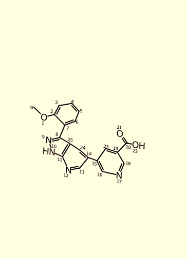 COc1ccccc1-c1n[nH]c2ncc(-c3cncc(C(=O)O)c3)cc12